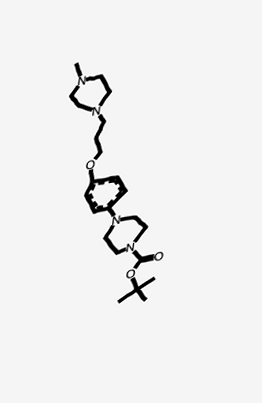 CN1CCN(CCCOc2ccc(N3CCN(C(=O)OC(C)(C)C)CC3)cc2)CC1